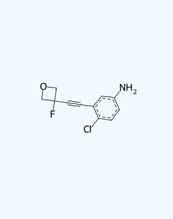 Nc1ccc(Cl)c(C#CC2(F)COC2)c1